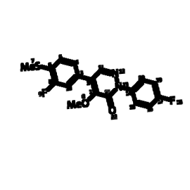 COc1c(-c2ccc(SC)c(F)c2)cnn(-c2ccc(F)cc2)c1=O